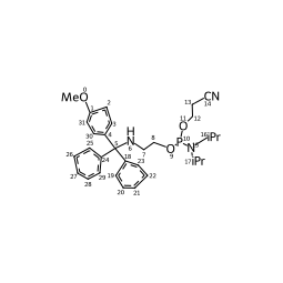 COc1ccc(C(NCCOP(OCCC#N)N(C(C)C)C(C)C)(c2ccccc2)c2ccccc2)cc1